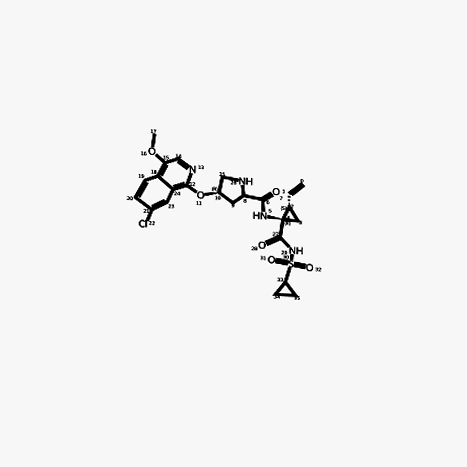 C=C[C@@H]1C[C@]1(NC(=O)C1C[C@@H](Oc2ncc(OC)c3ccc(Cl)cc23)CN1)C(=O)NS(=O)(=O)C1CC1